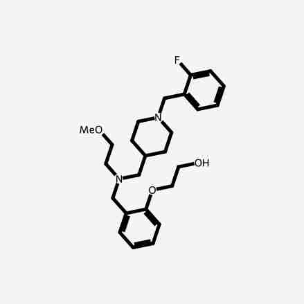 COCCN(Cc1ccccc1OCCO)CC1CCN(Cc2ccccc2F)CC1